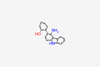 Nc1c(-c2ccccc2O)ccc2[nH]c3ccccc3c12